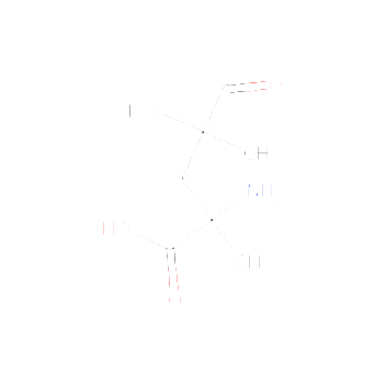 CC(C)(C=O)CC(C)(N)C(=O)O